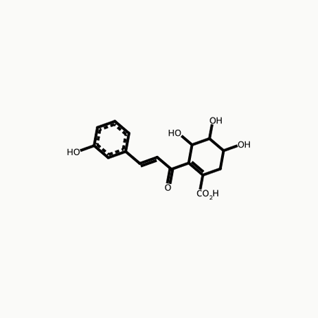 O=C(O)C1=C(C(=O)C=Cc2cccc(O)c2)C(O)C(O)C(O)C1